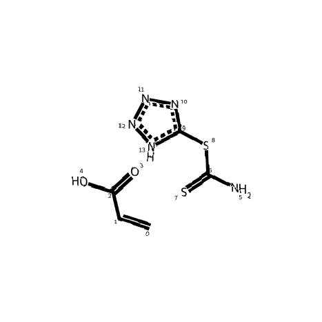 C=CC(=O)O.NC(=S)Sc1nnn[nH]1